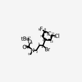 CN(CCC(Br)c1cc(F)cc(Cl)c1)C(=O)OC(C)(C)C